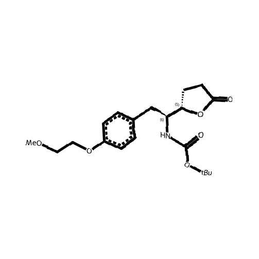 COCCOc1ccc(C[C@H](NC(=O)OC(C)(C)C)[C@@H]2CCC(=O)O2)cc1